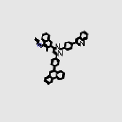 C=C/C=C\c1c(C)c(-c2cc(-c3ccc(-c4cc5ccccc5c5ccccc45)cc3)nc(-c3ccc(-c4cnc5ccccc5c4)cc3)n2)cc2ccccc12